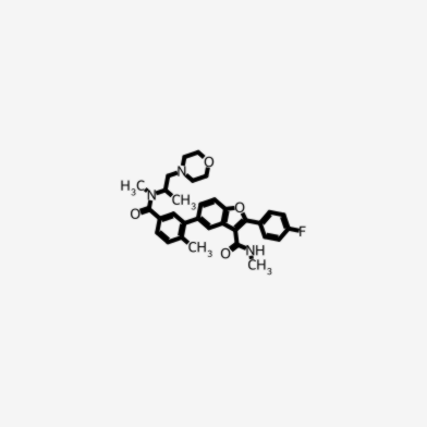 CNC(=O)c1c(-c2ccc(F)cc2)oc2ccc(-c3cc(C(=O)N(C)C(C)CN4CCOCC4)ccc3C)cc12